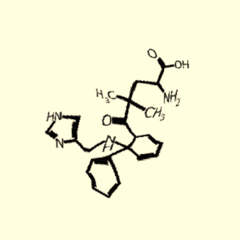 CC(C)(CC(N)C(=O)O)C(=O)C1C=CC=CC1(NCc1c[nH]cn1)c1ccccc1